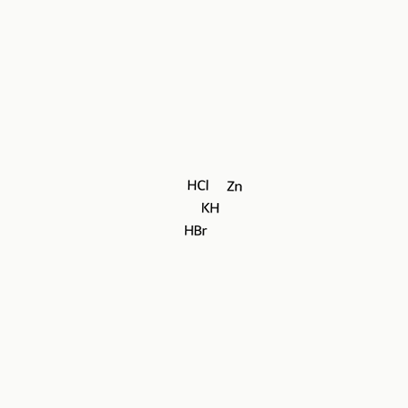 Br.Cl.[KH].[Zn]